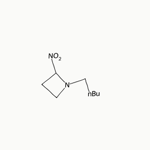 CCCCCN1CCC1[N+](=O)[O-]